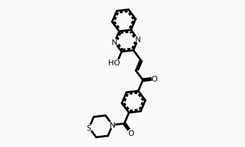 O=C(C=Cc1nc2ccccc2nc1O)c1ccc(C(=O)N2CCSCC2)cc1